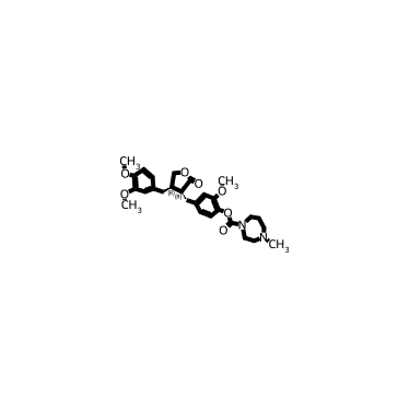 COc1ccc(C[C@H]2COC(=O)[C@@H]2Cc2ccc(OC(=O)N3CCCN(C)CC3)c(OC)c2)cc1OC